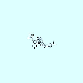 CC(C)c1ccc(CC(C)(C)NCC(O)CN(C)S(=O)(=O)c2cc(CCC(=O)O)cc(C(F)(F)F)c2)cc1